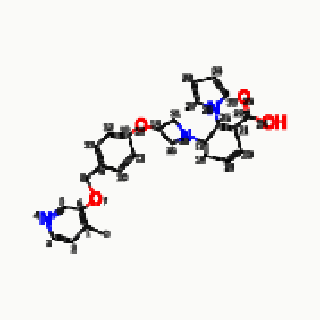 Cc1ccncc1OCc1ccc(OC2CN(c3cccc(C(=O)O)c3-n3cccc3)C2)cc1